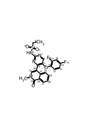 CCS(=O)(=O)Nc1ncc(Oc2ccc(F)cc2F)c(-c2cn(C)c(=O)c3ccccc23)n1